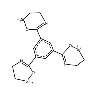 c1c(C2=NCC[SiH2]O2)cc(C2=NCC[SiH2]O2)cc1C1=NCC[SiH2]O1